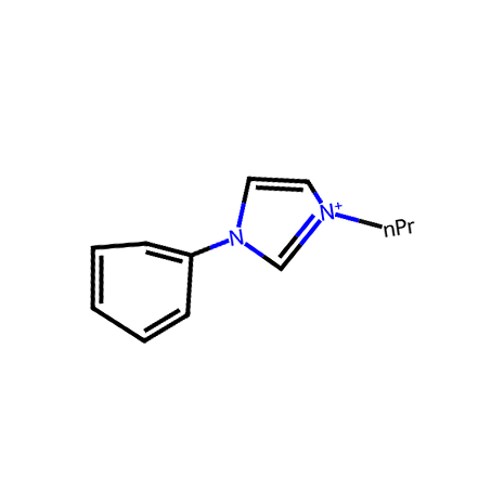 CCC[n+]1ccn(-c2ccccc2)c1